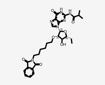 CC[C@H]1O[C@@H](n2cnc3c(=O)[nH]c(NC(=O)C(C)C)nc32)[C@@H](OCCCCCCN2C(=O)c3ccccc3C2=O)C1O